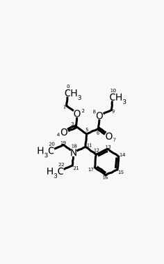 CCOC(=O)C(C(=O)OCC)C(c1ccccc1)N(CC)CC